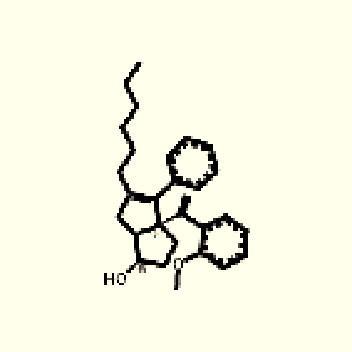 C=C(c1ccccc1OC)[C@@]12CC[C@@H](O)C1CC(CCCCCC)=C2c1ccccc1